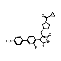 O=C(C1CC1)N1CC[C@@H](CC2=[N+]([O-])NNC2c2ccc(-c3ccc(O)cc3)cc2F)C1